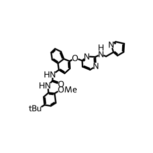 COc1ccc(C(C)(C)C)cc1NC(=O)Nc1ccc(Oc2ccnc(NCc3ccccn3)n2)c2ccccc12